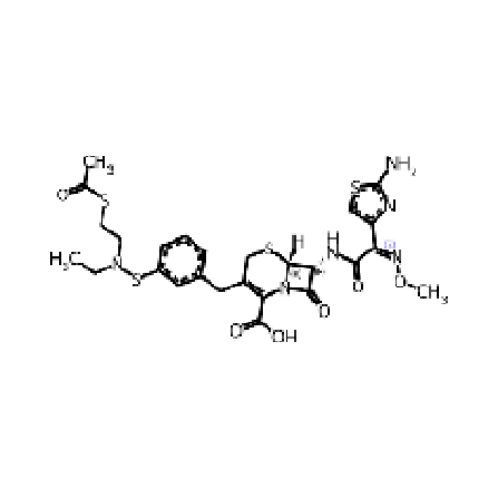 CCN(CCSC(C)=O)Sc1cccc(CC2=C(C(=O)O)N3C(=O)[C@@H](NC(=O)/C(=N\OC)c4csc(N)n4)[C@H]3SC2)c1